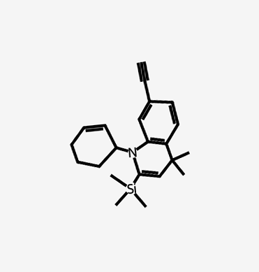 C#Cc1ccc2c(c1)N(C1C=CCCC1)C([Si](C)(C)C)=CC2(C)C